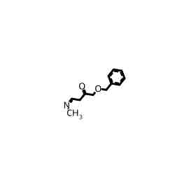 C/N=C\CC(=O)COCc1ccccc1